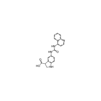 O=C(Nc1ccc2c(c1)C(C(=O)O)CN2)Nc1ccnc2ccccc12